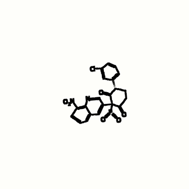 O=C1CC[C@@H](c2cccc(Cl)c2)C(=O)C1(c1cnc2c([N+](=O)[O-])cccc2c1)P(=O)=O